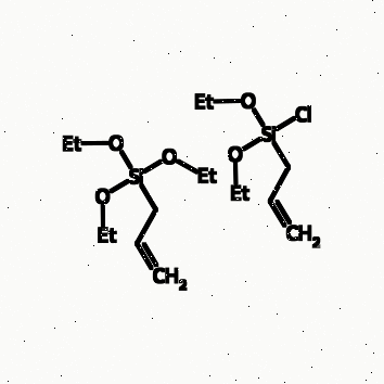 C=CC[Si](Cl)(OCC)OCC.C=CC[Si](OCC)(OCC)OCC